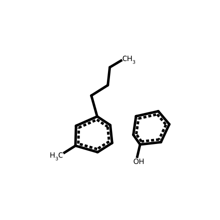 CCCCc1cccc(C)c1.Oc1ccccc1